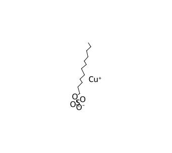 CCCCCCCCCCCCOS(=O)(=O)[O-].[Cu+]